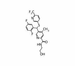 Cc1cc(C(=O)NCCO)ncc1C(Sc1ccc(C(F)(F)F)nc1)c1cc(F)ccc1F